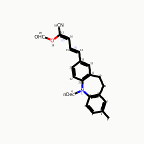 CCCCCCCCCCN1c2ccc(C)cc2CCc2cc(/C=C/C=C(/C#N)OC=O)ccc21